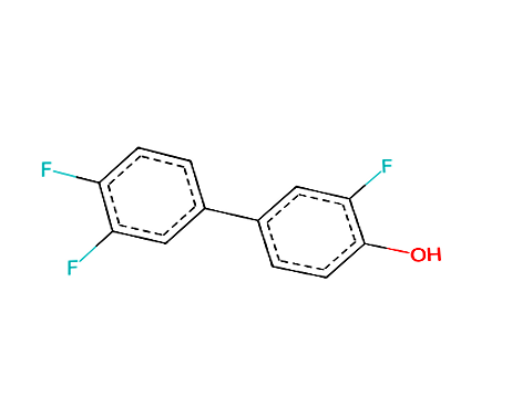 Oc1ccc(-c2ccc(F)c(F)c2)cc1F